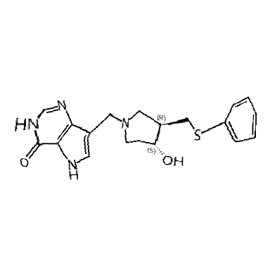 O=c1[nH]cnc2c(CN3C[C@@H](CSc4ccccc4)[C@H](O)C3)c[nH]c12